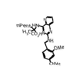 CCCCCC(C)(Nc1nc(NCc2ccc(OC)cc2OC)nc2cccnc12)C(=O)O